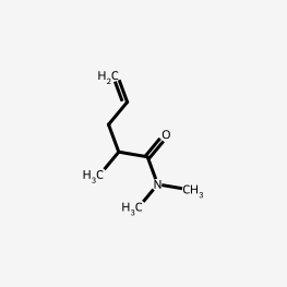 C=CCC(C)C(=O)N(C)C